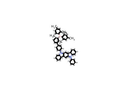 Cc1cc(C)c(B(c2cccc(-c3ccc(-n4c5ccccc5c5cc6c(cc54)c4ccccc4n6-c4ccccc4)cc3)c2)c2c(C)cc(C)cc2C)c(C)c1